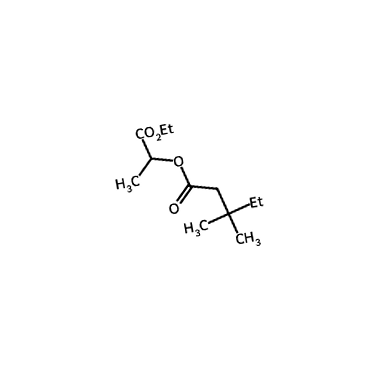 CCOC(=O)C(C)OC(=O)CC(C)(C)CC